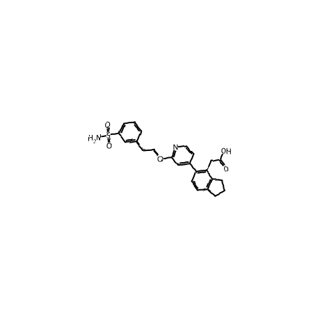 NS(=O)(=O)c1cccc(CCOc2cc(-c3ccc4c(c3CC(=O)O)CCC4)ccn2)c1